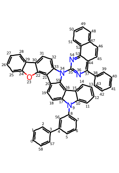 c1ccc(-c2cccc(-n3c4ccccc4c4c3ccc3c5c6oc7ccccc7c6ccc5n(-c5nc(-c6ccccc6)c6ccc7ccccc7c6n5)c34)c2)cc1